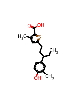 CCC(CCc1cc(C)c(C(=O)O)s1)c1ccc(O)c(C)c1